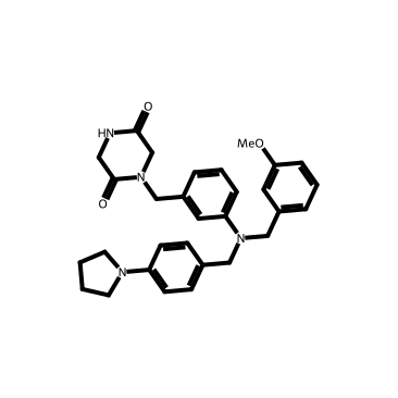 COc1cccc(CN(Cc2ccc(N3CCCC3)cc2)c2cccc(CN3CC(=O)NCC3=O)c2)c1